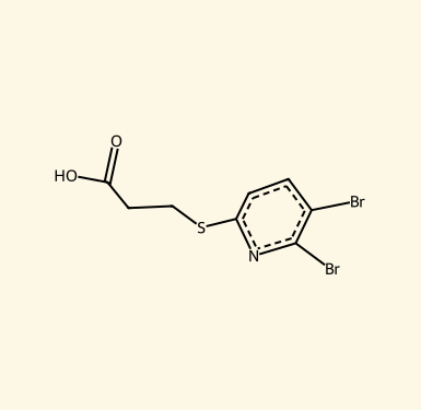 O=C(O)CCSc1ccc(Br)c(Br)n1